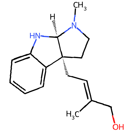 C/C(=C\C[C@@]12CCN(C)[C@@H]1Nc1ccccc12)CO